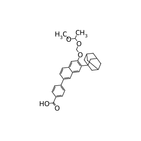 COC(C)OCOc1cc2ccc(-c3ccc(C(=O)O)cc3)cc2cc1C12CC3CC(CC(C3)C1)C2